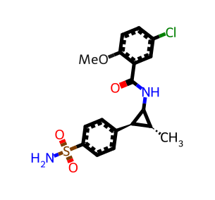 COc1ccc(Cl)cc1C(=O)NC1[C@H](C)[C@H]1c1ccc(S(N)(=O)=O)cc1